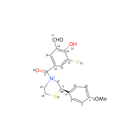 COc1ccc([C@@H]2CN(C(=O)c3cc(F)c(O)c(C=O)c3)CCS2)cc1